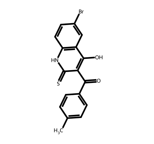 Cc1ccc(C(=O)c2c(O)c3cc(Br)ccc3[nH]c2=S)cc1